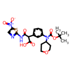 CC(C)(C)OC(=O)N(c1cccc(C(C(=O)O)C(=O)Nc2ncc([N+](=O)[O-])s2)c1)C1CCOCC1